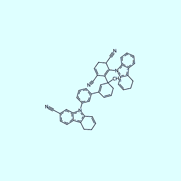 CC1(C2=C(n3c4c(c5ccccc53)CCC=C4)C(C#N)CC=C2C#N)C=C(c2cccc(-n3c4c(c5ccc(C#N)cc53)CCC=C4)c2)C=CC1